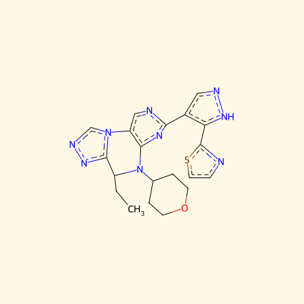 CCC1c2nncn2-c2cnc(-c3cn[nH]c3-c3nccs3)nc2N1C1CCOCC1